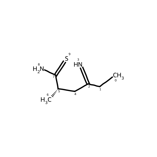 CCC(=N)C[C@H](C)C(N)=S